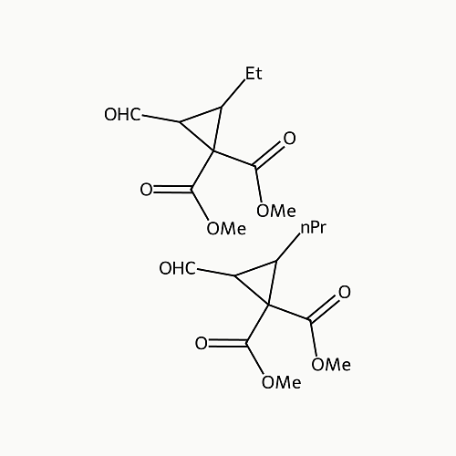 CCC1C(C=O)C1(C(=O)OC)C(=O)OC.CCCC1C(C=O)C1(C(=O)OC)C(=O)OC